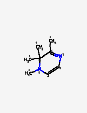 CC1=NC=CN(C)C1(C)C